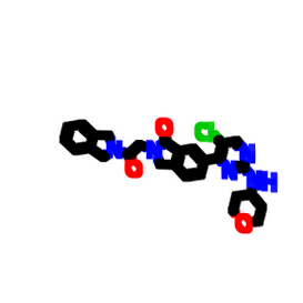 O=C(CN1Cc2ccc(-c3nc(NC4CCOCC4)ncc3Cl)cc2C1=O)N1Cc2ccccc2C1